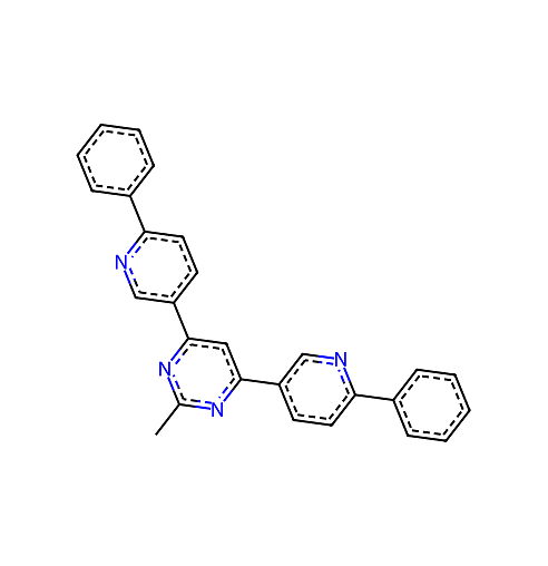 Cc1nc(-c2ccc(-c3ccccc3)nc2)cc(-c2ccc(-c3ccccc3)nc2)n1